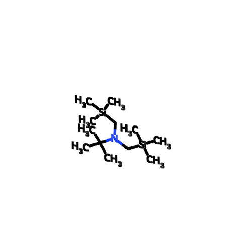 CC(C)(C)N(C[Si](C)(C)C)C[Si](C)(C)C